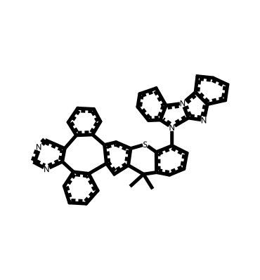 CC1(C)c2cc3c(cc2Sc2c(-n4c5ccccc5n5c6ccccc6nc45)cccc21)-c1ccccc1-c1cncnc1-c1ccccc1-3